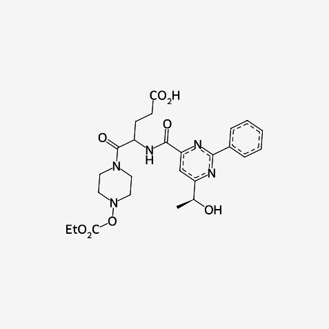 CCOC(=O)ON1CCN(C(=O)C(CCC(=O)O)NC(=O)c2cc([C@H](C)O)nc(-c3ccccc3)n2)CC1